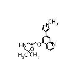 Cn1ccc(-c2cc(OC[C@@H]3CNCC(C)(C)O3)c3cccnc3c2)c1